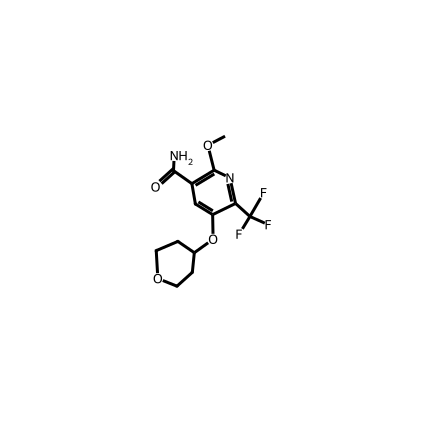 COc1nc(C(F)(F)F)c(OC2CCOCC2)cc1C(N)=O